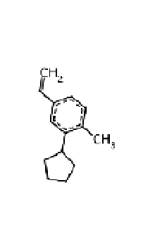 C=Cc1ccc(C)c(C2CCCC2)c1